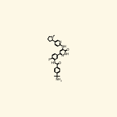 CN1CCCC1c1ccc(Nc2cc(-c3ccc(F)c(NC(=O)c4ccc(C(C)(C)N)cc4)c3)n[nH]c2=O)nc1